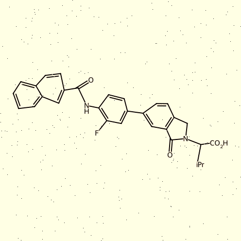 CC(C)C(C(=O)O)N1Cc2ccc(-c3ccc(NC(=O)c4ccc5ccccc5c4)c(F)c3)cc2C1=O